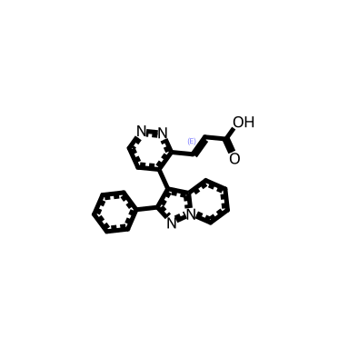 O=C(O)/C=C/c1nnccc1-c1c(-c2ccccc2)nn2ccccc12